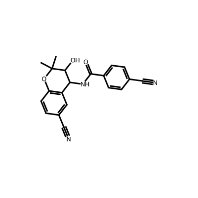 CC1(C)Oc2ccc(C#N)cc2C(NC(=O)c2ccc(C#N)cc2)C1O